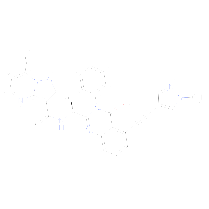 C=C(N[C@@H](C)c1nc2cccc(C#Cc3cnn(C)c3)c2c(=O)n1-c1ccccc1)c1cnn2c(C)ccnc12